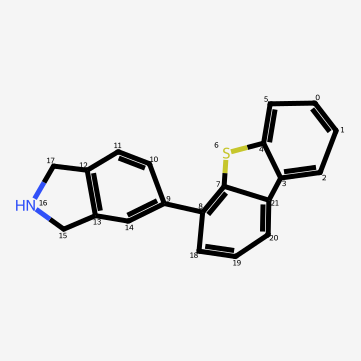 c1ccc2c(c1)sc1c(-c3ccc4c(c3)CNC4)cccc12